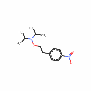 CC(C)N(OCCc1ccc([N+](=O)[O-])cc1)C(C)C